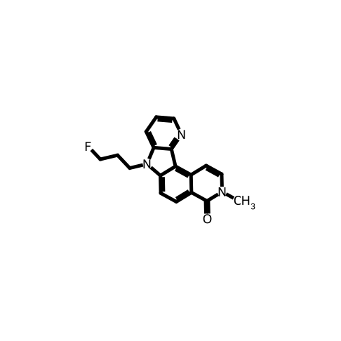 Cn1ccc2c(ccc3c2c2ncccc2n3CCCF)c1=O